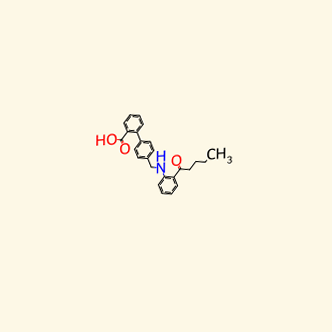 CCCCC(=O)c1ccccc1NCc1ccc(-c2ccccc2C(=O)O)cc1